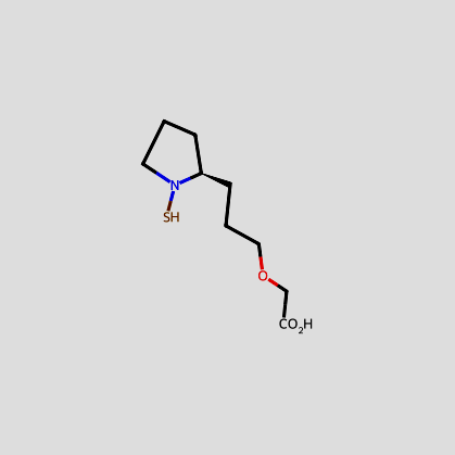 O=C(O)COCCC[C@@H]1CCCN1S